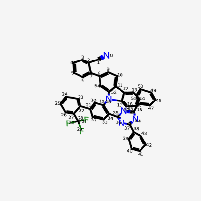 N#Cc1ccccc1-c1ccc2c3ccccc3n(-c3cc(-c4ccccc4C(F)(F)F)ccc3-c3nc(-c4ccccc4)nc(-c4ccccc4)n3)c2c1